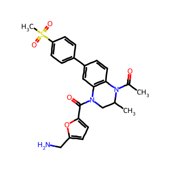 CC(=O)N1c2ccc(-c3ccc(S(C)(=O)=O)cc3)cc2N(C(=O)c2ccc(CN)o2)CC1C